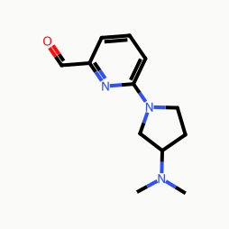 CN(C)C1CCN(c2cccc(C=O)n2)C1